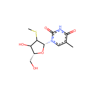 CSC1C(O)[C@@H](CO)O[C@H]1n1cc(C)c(=O)[nH]c1=O